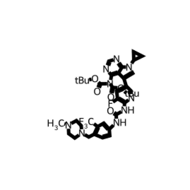 CN1CCN(Cc2ccc(NC(=O)Nc3ncc(-c4cn(C5CC5)c5ncnc(N(C(=O)OC(C)(C)C)C(=O)OC(C)(C)C)c45)cc3F)cc2C(F)(F)F)CC1